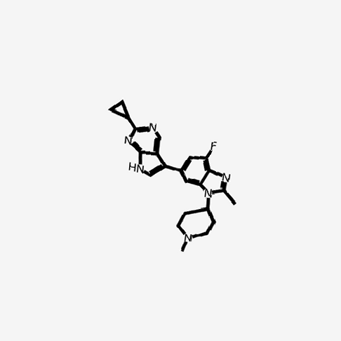 Cc1nc2c(F)cc(-c3c[nH]c4nc(C5CC5)ncc34)cc2n1C1CCN(C)CC1